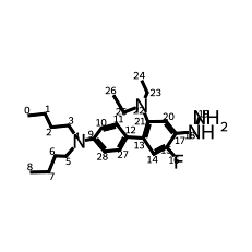 CCCCN(CCCC)c1ccc(-c2cc(F)c(NN)cc2N(CC)CC)cc1